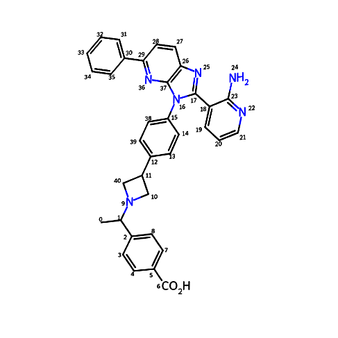 CC(c1ccc(C(=O)O)cc1)N1CC(c2ccc(-n3c(-c4cccnc4N)nc4ccc(-c5ccccc5)nc43)cc2)C1